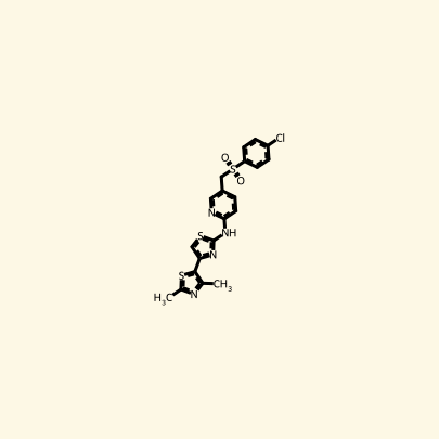 Cc1nc(C)c(-c2csc(Nc3ccc(CS(=O)(=O)c4ccc(Cl)cc4)cn3)n2)s1